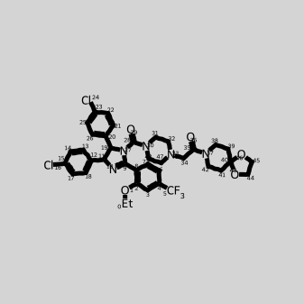 CCOc1cc(C(F)(F)F)ccc1C1=NC(c2ccc(Cl)cc2)C(c2ccc(Cl)cc2)N1C(=O)N1CCN(CC(=O)N2CCC3(CC2)OCCO3)CC1